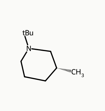 C[C@@H]1CCCN(C(C)(C)C)C1